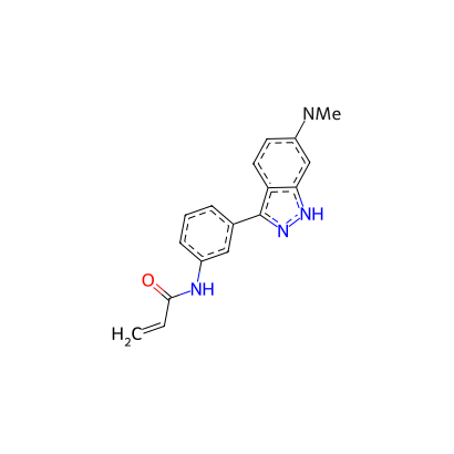 C=CC(=O)Nc1cccc(-c2n[nH]c3cc(NC)ccc23)c1